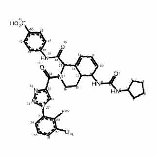 O=C(NC1CCCC1)NC1C=CC=C2C1CCN(C(=O)c1cn(-c3cccc(Cl)c3F)nn1)C2C(=O)Nc1ccc(C(=O)O)cc1